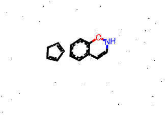 C1=CCC=C1.C1=Cc2ccccc2ON1